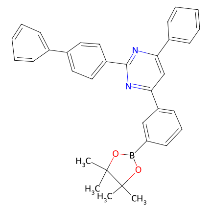 CC1(C)OB(c2cccc(-c3cc(-c4ccccc4)nc(-c4ccc(-c5ccccc5)cc4)n3)c2)OC1(C)C